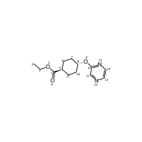 CCOC(=O)[C@H]1CC[C@H](Oc2cnccn2)CC1